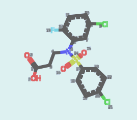 O=C(O)CCN(c1cc(Cl)ccc1F)S(=O)(=O)c1ccc(Cl)cc1